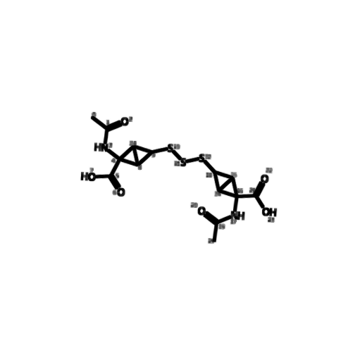 CC(=O)NC1(C(=O)O)C2C(SSSC3C4C3C4(NC(C)=O)C(=O)O)C21